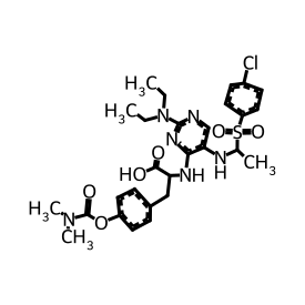 CCN(CC)c1ncc(NC(C)S(=O)(=O)c2ccc(Cl)cc2)c(NC(Cc2ccc(OC(=O)N(C)C)cc2)C(=O)O)n1